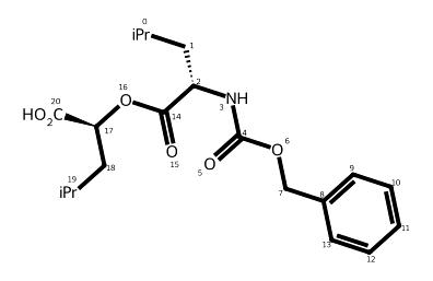 CC(C)C[C@H](NC(=O)OCc1ccccc1)C(=O)O[C@@H](CC(C)C)C(=O)O